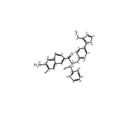 Cc1cc2cc(C(=O)N(Cc3ccc(-c4scnc4CF)cn3)N(C)c3ncccn3)ccc2nc1N